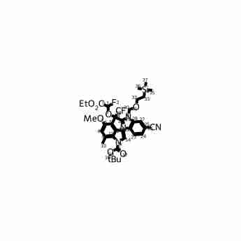 CCOC(=O)C(F)OC(c1c(OC)cc(C)c2c1ccn2C(=O)OC(C)(C)C)(c1nc2ccc(C#N)cc2n1COCC[Si](C)(C)C)C(F)(F)F